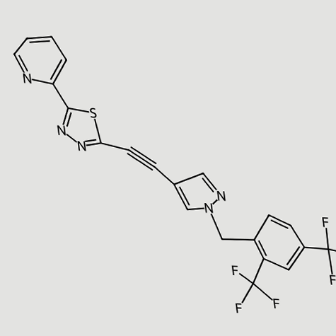 FC(F)(F)c1ccc(Cn2cc(C#Cc3nnc(-c4ccccn4)s3)cn2)c(C(F)(F)F)c1